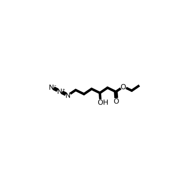 CCOC(=O)CC(O)CCCN=[N+]=[N-]